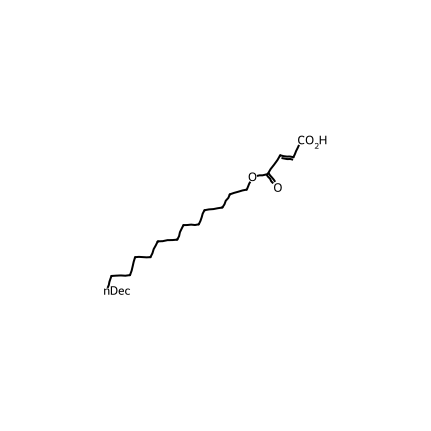 CCCCCCCCCCCCCCCCCCCCCCOC(=O)/C=C/C(=O)O